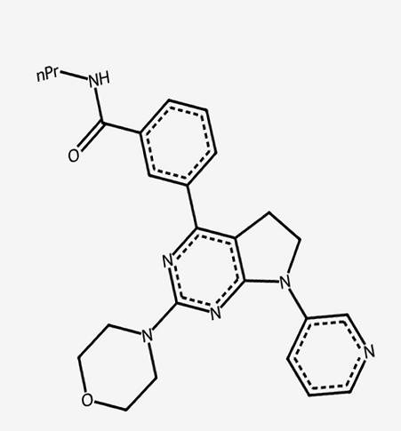 CCCNC(=O)c1cccc(-c2nc(N3CCOCC3)nc3c2CCN3c2cccnc2)c1